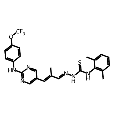 CC(/C=N/NC(=S)Nc1c(C)cccc1C)=C\c1cnc(Nc2ccc(OC(F)(F)F)cc2)nc1